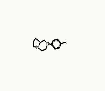 Ic1ccc(N2CCN3CCCC3C2)cc1